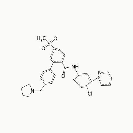 CS(=O)(=O)c1ccc(C(=O)Nc2ccc(Cl)c(-c3ccccn3)c2)c(-c2ccc(CN3CCCC3)cc2)c1